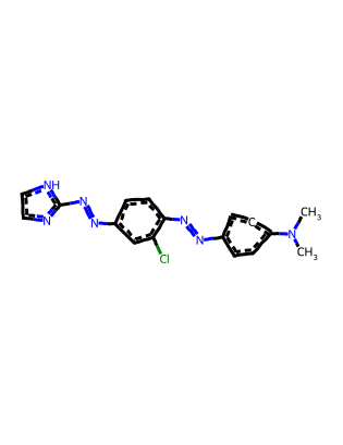 CN(C)c1ccc(/N=N/c2ccc(/N=N/c3ncc[nH]3)cc2Cl)cc1